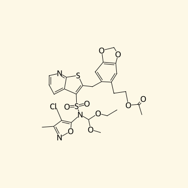 CCOC(OC)N(c1onc(C)c1Cl)S(=O)(=O)c1c(Cc2cc3c(cc2CCOC(C)=O)OCO3)sc2ncccc12